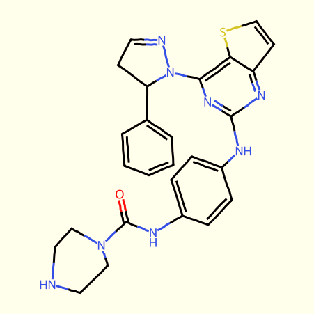 O=C(Nc1ccc(Nc2nc(N3N=CCC3c3ccccc3)c3sccc3n2)cc1)N1CCNCC1